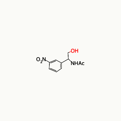 CC(=O)NC(CO)c1cccc([N+](=O)[O-])c1